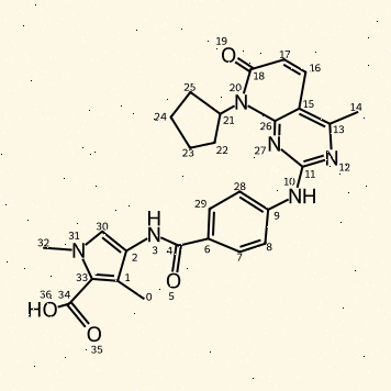 Cc1c(NC(=O)c2ccc(Nc3nc(C)c4ccc(=O)n(C5CCCC5)c4n3)cc2)cn(C)c1C(=O)O